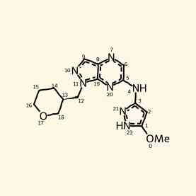 COc1cc(Nc2cnc3cnn(C[C@@H]4CCCOC4)c3n2)n[nH]1